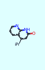 CC(C)c1cc(=O)[nH]c2ncccc12